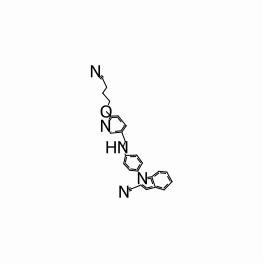 N#CCCCOc1ccc(CNc2ccc(-n3c(C#N)cc4ccccc43)cc2)cn1